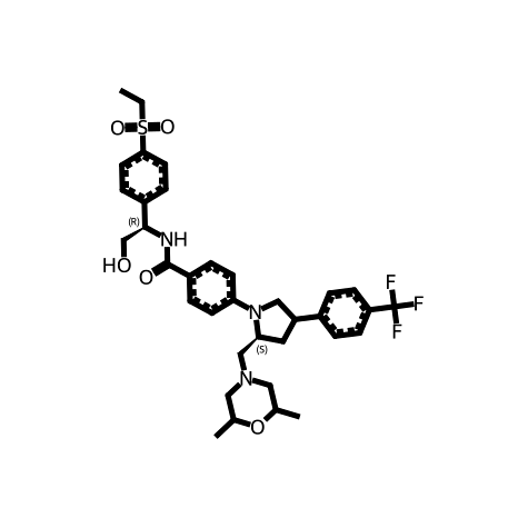 CCS(=O)(=O)c1ccc([C@H](CO)NC(=O)c2ccc(N3CC(c4ccc(C(F)(F)F)cc4)C[C@H]3CN3CC(C)OC(C)C3)cc2)cc1